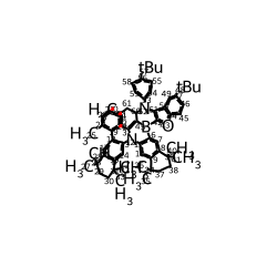 CC1=CC2=C3B(c4cc5c(cc4N2c2cc4c(cc2-c2ccccc2C)C(C)(C)CCC4(C)C)C(C)(C)CCC5(C)C)c2oc4ccc(C(C)(C)C)cc4c2N(c2ccc(C(C)(C)C)cc2)C3C1